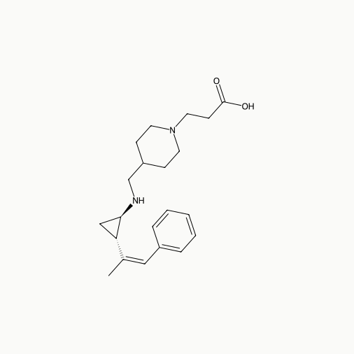 CC(=Cc1ccccc1)[C@@H]1C[C@H]1NCC1CCN(CCC(=O)O)CC1